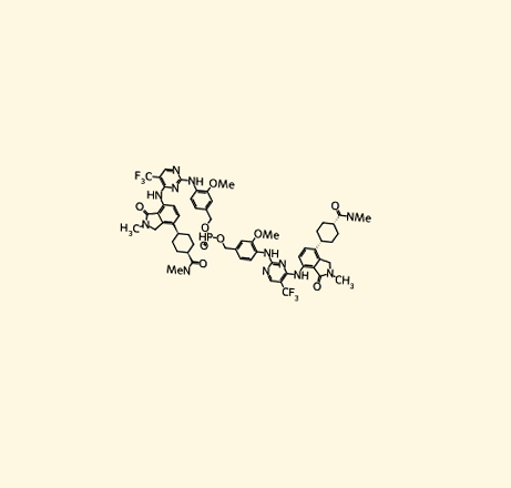 CNC(=O)[C@H]1CC[C@@H](c2ccc(Nc3nc(Nc4ccc(CO[PH](=O)OCc5ccc(Nc6ncc(C(F)(F)F)c(Nc7ccc([C@H]8CC[C@@H](C(=O)NC)CC8)c8c7C(=O)N(C)C8)n6)c(OC)c5)cc4OC)ncc3C(F)(F)F)c3c2CN(C)C3=O)CC1